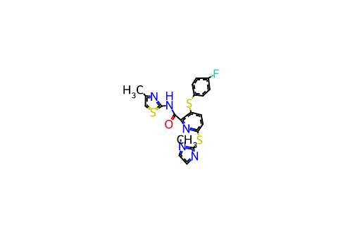 Cc1csc(NC(=O)c2nc(Sc3nccn3C)ccc2Sc2ccc(F)cc2)n1